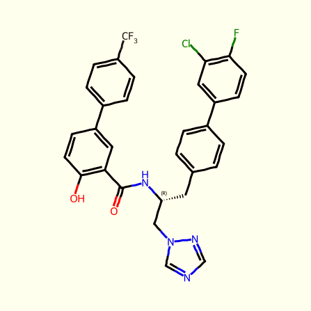 O=C(N[C@H](Cc1ccc(-c2ccc(F)c(Cl)c2)cc1)Cn1cncn1)c1cc(-c2ccc(C(F)(F)F)cc2)ccc1O